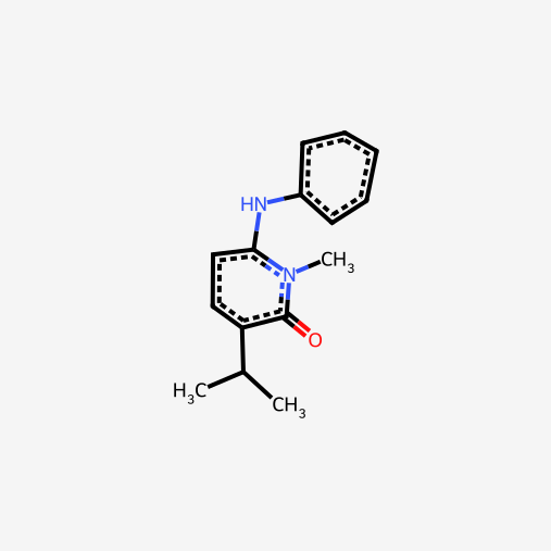 CC(C)c1ccc(Nc2ccccc2)n(C)c1=O